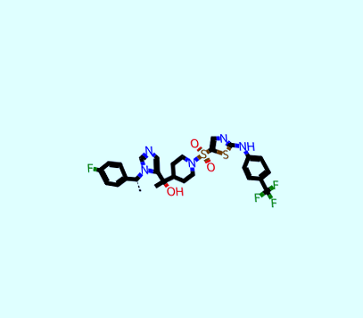 C[C@H](c1ccc(F)cc1)n1cncc1C(C)(O)C1CCN(S(=O)(=O)c2cnc(Nc3ccc(C(F)(F)F)cc3)s2)CC1